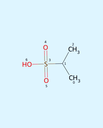 CC(C)S(=O)(=O)O